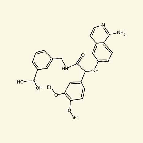 CCOc1cc(C(Nc2ccc3c(N)nccc3c2)C(=O)NCc2cccc(B(O)O)c2)ccc1OC(C)C